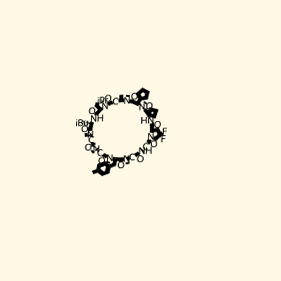 CC[C@H](C)C1NC(=O)C(CC(C)C)N(C)C(=O)CC(C)N(C)C(=O)C(C2CCCC2)N(C)C(=O)C2(CCC2)NC(=O)C2CC(F)(F)CN2C(=O)CNC(=O)CN(C)C(=O)C(Cc2ccc(C)cc2)N(C)C(=O)CN(C)C(=O)CN(C)C1=O